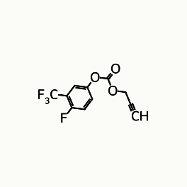 C#CCOC(=O)Oc1ccc(F)c(C(F)(F)F)c1